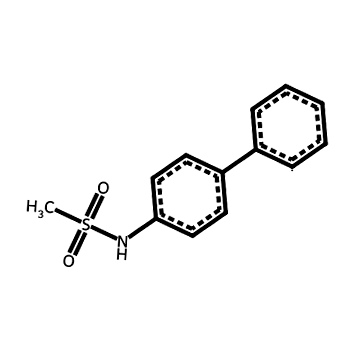 CS(=O)(=O)Nc1ccc(-c2[c]cccc2)cc1